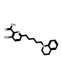 O=C(O)c1nc(CCCCCN2CCCc3ccccc32)ccc1O